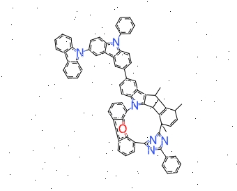 CC1C=CC2(C)C3=C1C(C)c1c(n(c4ccc(-c5ccc6c(c5)c5cc(-n7c8ccccc8c8ccccc87)ccc5n6-c5ccccc5)cc14)-c1cccc4c1oc1c(cccc14)-c1nc(-c4ccccc4)nc2n1)C3C